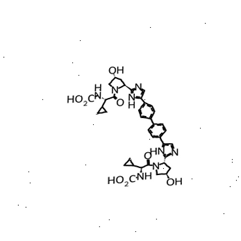 O=C(O)N[C@H](C(=O)N1C[C@H](O)C[C@H]1c1ncc(-c2ccc(-c3ccc(-c4cnc([C@@H]5C[C@@H](O)CN5C(=O)[C@@H](NC(=O)O)C5CC5)[nH]4)cc3)cc2)[nH]1)C1CC1